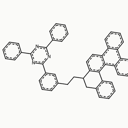 c1ccc(-c2nc(-c3ccccc3)nc(-c3cccc(CCC4Cc5ccccc5-c5c4ccc4c6ccccc6c6ccccc6c54)c3)n2)cc1